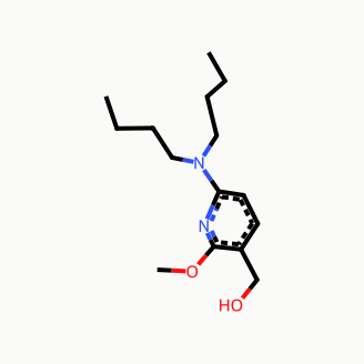 CCCCN(CCCC)c1ccc(CO)c(OC)n1